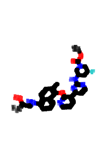 Cc1ccc2c(NCC(O)C(F)(F)F)cccc2c1Oc1ncccc1-c1ccnc(N[C@@H]2C[C@@H](F)CN(C(=O)OC(C)(C)C)C2)n1